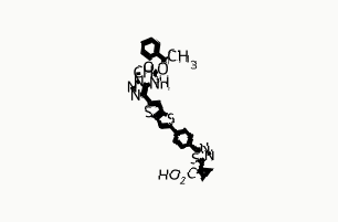 C[C@@H](OC(=O)Nc1c(-c2cc3sc(-c4ccc(-c5nnc(C6(C(=O)O)CC6)s5)cc4)cc3s2)nnn1C)c1ccccc1